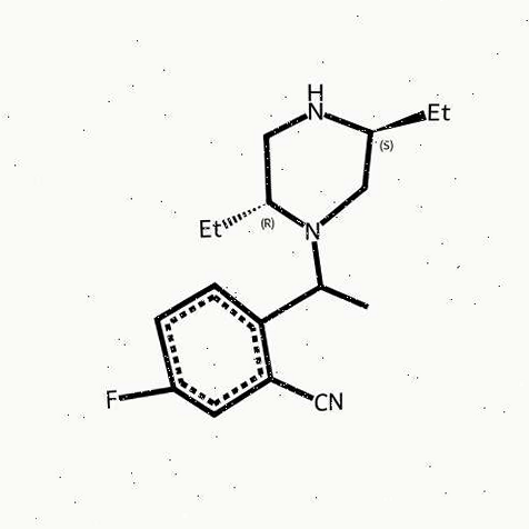 CC[C@H]1CN(C(C)c2ccc(F)cc2C#N)[C@H](CC)CN1